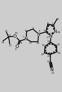 Cc1cc(N2CCN(C(=O)OC(C)(C)C)CC2)n(-c2ccc(C#N)cc2)n1